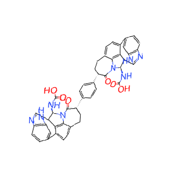 O=C(O)N[C@@H]1C2c3nc4ccc(cc4[nH]3)-c3ccc4c(c32)N1C(=O)[C@H](c1ccc([C@@H]2CCc3ccc5c6c3N(C2=O)[C@H](NC(=O)O)C6c2nc3ccc-5cc3[nH]2)cc1)CC4